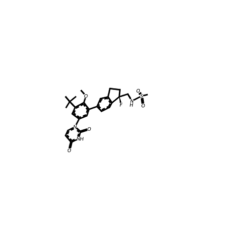 COc1c(-c2ccc3c(c2)CC[C@]3(F)CNS(C)(=O)=O)cc(-n2ccc(=O)[nH]c2=O)cc1C(C)(C)C